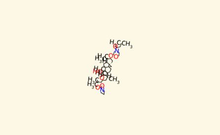 CC(C)CC(=O)N1CCOC(OC2CC[C@]34C[C@]35CC[C@]3(C)[C@@H]6[C@H](OC([C@H](OC(=O)N7CCC7)C(C)C)C[C@H]6C)[C@H](O)[C@@]3(C)C5CC[C@H]4C2(C)C)C1